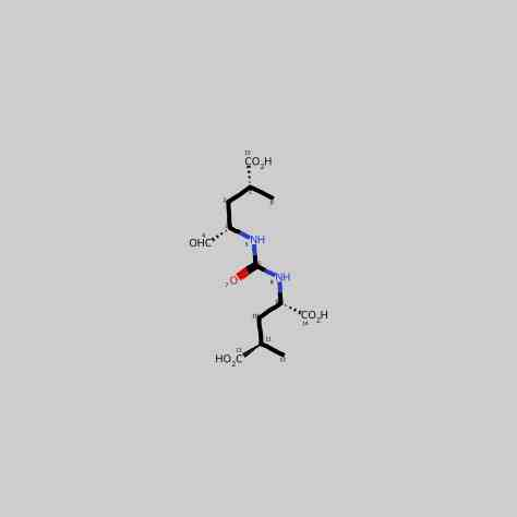 C[C@H](C[C@@H](C=O)NC(=O)N[C@@H](C[C@@H](C)C(=O)O)C(=O)O)C(=O)O